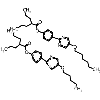 CCCCCCOc1cnc(-c2ccc(OC(=O)C(CCC)CCC)cc2)nc1.CCCCCOc1cnc(-c2ccc(OC(=O)C(CCC)CCC)cc2)nc1